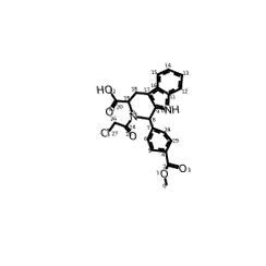 COC(=O)c1ccc(C2c3[nH]c4ccccc4c3CC(C(=O)O)N2C(=O)CCl)cc1